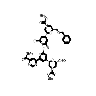 CC(C)(C)OC(=O)N1C[C@@H](COCc2ccccc2)O[C@H](c2cc(Cl)nc(Br)c2)C1.CNC(=O)c1cc(-c2cc([C@@H]3CN(C(=O)OC(C)(C)C)C[C@@H](C=O)O3)cc(Cl)n2)ncn1